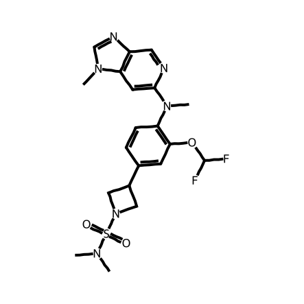 CN(c1cc2c(cn1)ncn2C)c1ccc(C2CN(S(=O)(=O)N(C)C)C2)cc1OC(F)F